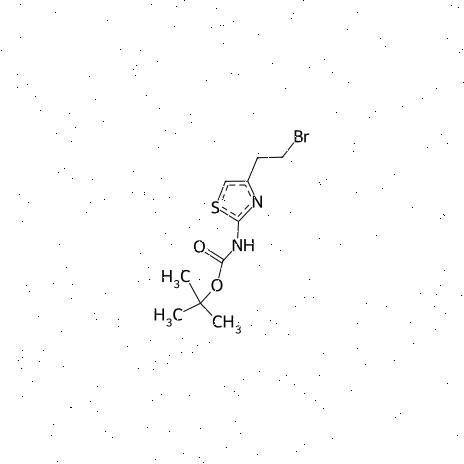 CC(C)(C)OC(=O)Nc1nc(CCBr)cs1